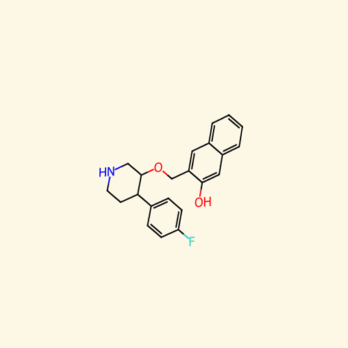 Oc1cc2ccccc2cc1COC1CNCCC1c1ccc(F)cc1